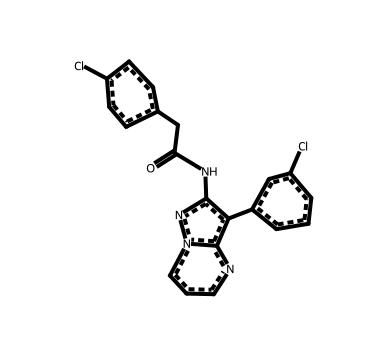 O=C(Cc1ccc(Cl)cc1)Nc1nn2cccnc2c1-c1cccc(Cl)c1